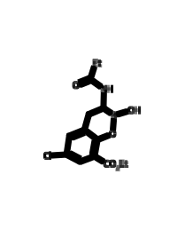 CCOC(=O)c1cc(Cl)cc2c1OB(O)C(NC(=O)CC)C2